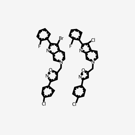 Fc1ccccc1-c1nc2cn(Cc3cc(-c4ccc(Cl)cc4)no3)ccc-2c1Br.Fc1ccccc1-c1nc2cn(Cc3cc(-c4ccc(Cl)cc4)no3)ccc-2c1Cl